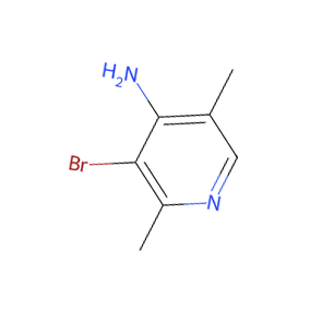 Cc1cnc(C)c(Br)c1N